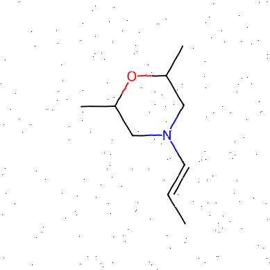 CC=CN1CC(C)OC(C)C1